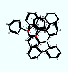 c1ccc(-c2ccccc2N(c2ccccc2-c2cccc3cccc(C4CCCCC4)c23)c2cccc3c2c2ccccc2n3-c2ccccc2)cc1